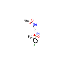 CC(C)(C)OC(=O)NCCCNS(=O)(=O)c1ccc(F)cc1C(F)(F)F